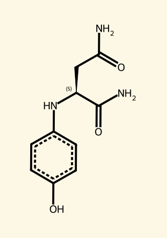 NC(=O)C[C@H](Nc1ccc(O)cc1)C(N)=O